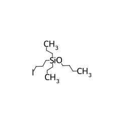 CCCCO[Si](CCC)(CCC)CCCI